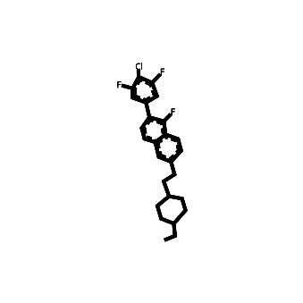 CCC1CCC(CCc2ccc3c(F)c(-c4cc(F)c(Cl)c(F)c4)ccc3c2)CC1